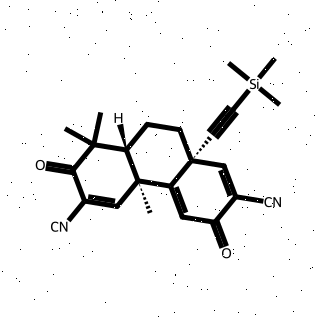 [C-]#[N+]C1=C[C@]2(C)C3=CC(=O)C(C#N)=C[C@]3(C#C[Si](C)(C)C)CC[C@H]2C(C)(C)C1=O